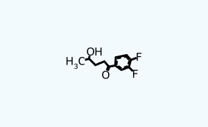 CC(O)CCC(=O)c1ccc(F)c(F)c1